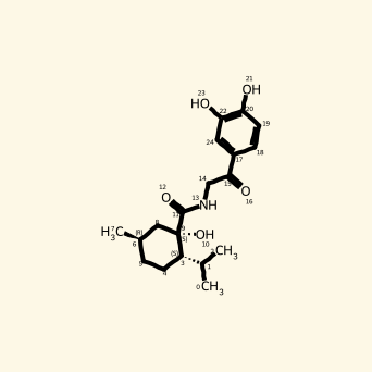 CC(C)[C@@H]1CC[C@@H](C)C[C@@]1(O)C(=O)NCC(=O)c1ccc(O)c(O)c1